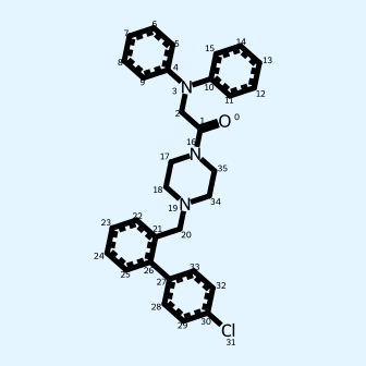 O=C(CN(c1ccccc1)c1ccccc1)N1CCN(Cc2ccccc2-c2ccc(Cl)cc2)CC1